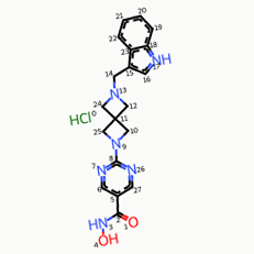 Cl.O=C(NO)c1cnc(N2CC3(CN(Cc4c[nH]c5ccccc45)C3)C2)nc1